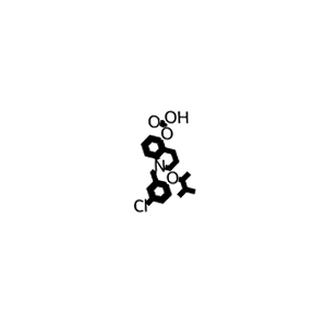 CC(C)C(C)Oc1ccc(Cl)cc1CN1CCCc2c(OC(=O)O)cccc21